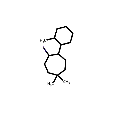 CC1CCCCC1C1CCC(C)(C)CCC1I